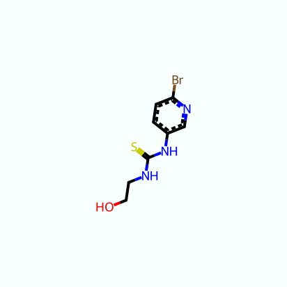 OCCNC(=S)Nc1ccc(Br)nc1